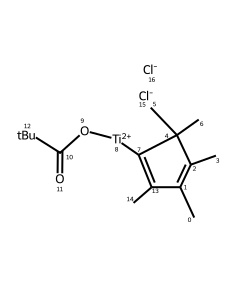 CC1=C(C)C(C)(C)[C]([Ti+2][O]C(=O)C(C)(C)C)=C1C.[Cl-].[Cl-]